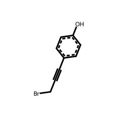 Oc1ccc(C#CCBr)cc1